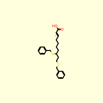 O=C(O)/C=C/CCCCC(CCSCc1ccccc1)SCc1ccccc1